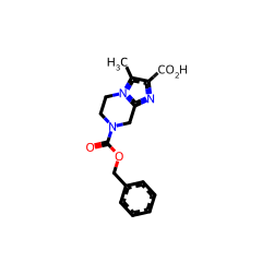 Cc1c(C(=O)O)nc2n1CCN(C(=O)OCc1ccccc1)C2